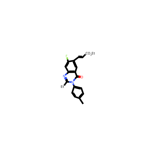 CCOC(=O)C=Cc1cc2c(=O)n(-c3ccc(C)cc3)c(CC)nc2cc1F